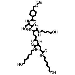 CC(C)(C)OCC1CCC(C(=O)NC(CO)C(=O)NC(CCC(=O)NC(CCC(=O)NCCCCCCO)C(=O)NCCCCCCO)C(=O)NCCCCO)CC1